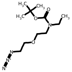 CCN(CCOCCN=[N+]=[N-])C(=O)OC(C)(C)C